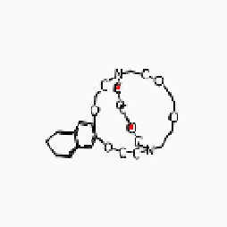 C1=c2cc3c(cc2=CCC1)OCCN1CCOCCOCCN(CCOCCOCC1)CCO3